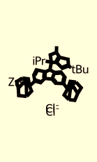 CC1CC(C(C)C)(C2c3ccc(C45CC6CC(CC(C6)C4)C5)cc3-c3cc(C45CC6CC(CC(C6)C4)C5)ccc32)C2=C1CC(C(C)(C)C)=C2.[Cl-].[Cl-].[Zr+2]